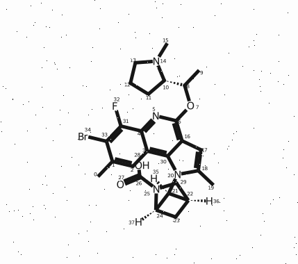 Cc1cc2c(nc(OC(C)[C@@H]3CCCN3C)c3cc(C)n([C@H]4[C@@H]5C[C@H]4N(C(=O)O)C5)c32)c(F)c1Br